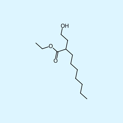 CCCCCCCC(CCO)C(=O)OCC